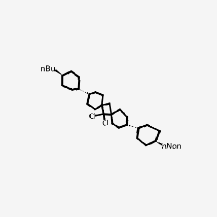 CCCCCCCCC[C@H]1CC[C@H](C2CCC3(CC2)CC2(CCC([C@H]4CC[C@H](CCCC)CC4)CC2)C3(Cl)Cl)CC1